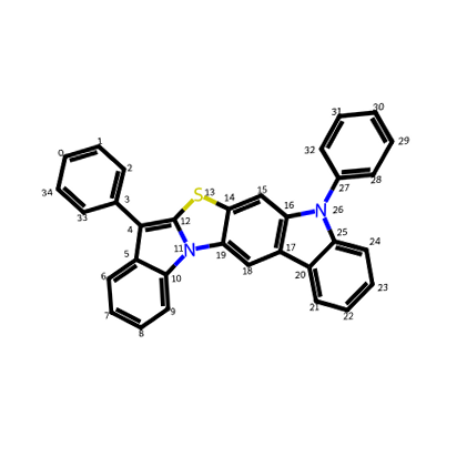 c1ccc(-c2c3ccccc3n3c2sc2cc4c(cc23)c2ccccc2n4-c2ccccc2)cc1